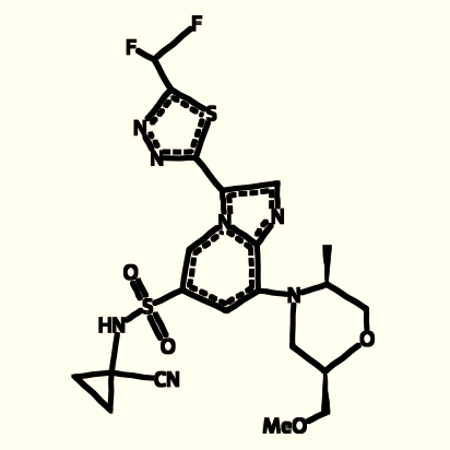 COC[C@H]1CN(c2cc(S(=O)(=O)NC3(C#N)CC3)cn3c(-c4nnc(C(F)F)s4)cnc23)[C@@H](C)CO1